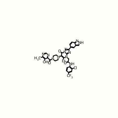 CCc1c(N2CCN(C(=O)c3ncnc(C)c3O)CC2)c(=O)n2nc(-c3ccc4n[nH]cc4c3)nc2n1CC(=O)Nc1ccc(C(F)(F)F)cc1Cl